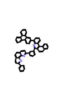 c1ccc(-c2ccc3ccc4ccc(-c5cccc(-c6nc7c(-c8ccc9c%10ccccc%10c%10ccccc%10c9c8)cccc7c7c6ccc6ccccc67)c5)nc4c3n2)cc1